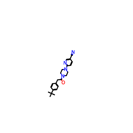 CC(C)(C)c1ccc(CC(=O)N2CCN(c3ccc(C#N)cn3)CC2)cc1